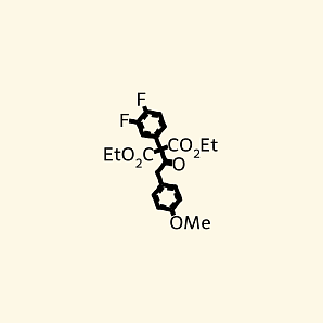 CCOC(=O)C(C(=O)Cc1ccc(OC)cc1)(C(=O)OCC)c1ccc(F)c(F)c1